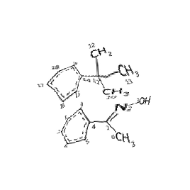 CC(=NO)c1ccccc1.CC(C)(C)c1ccccc1